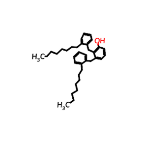 CCCCCCCCc1ccccc1Cc1cccc(O)c1Cc1ccccc1CCCCCCCC